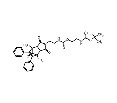 CC(C)(C)OC(=O)NCCOC(=O)NCCN1C(=O)C2C(C1=O)C1(C)C(=O)C2(C)C(c2ccccc2)=C1c1ccccc1